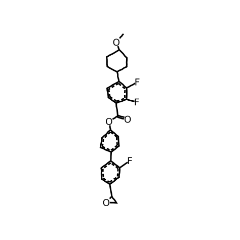 COC1CCC(c2ccc(C(=O)Oc3ccc(-c4ccc(C5CO5)cc4F)cc3)c(F)c2F)CC1